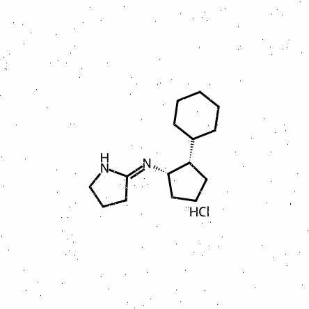 C1CCC([C@@H]2CCC[C@@H]2/N=C2\CCCN2)CC1.Cl